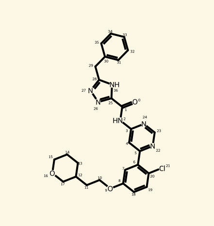 O=C(Nc1cc(-c2cc(OCCC3CCCOC3)ccc2Cl)ncn1)c1nnc(Cc2ccccc2)[nH]1